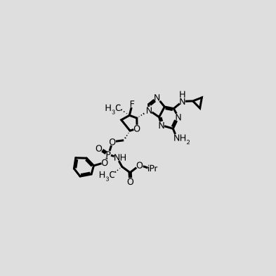 CC(C)OC(=O)[C@H](C)NP(=O)(OC[C@@H]1C[C@@](C)(F)[C@H](n2cnc3c(NC4CC4)nc(N)nc32)O1)Oc1ccccc1